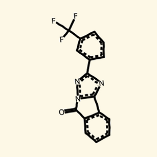 O=C1c2ccccc2-c2nc(-c3cccc(C(F)(F)F)c3)nn21